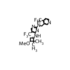 COC1C[C@H](Nc2nc(NCc3cnccc3C(F)(F)F)ncc2C(F)(F)F)C1(C)C